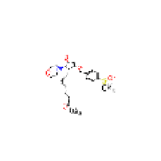 COC(=O)CCC/C=C\C[C@H]1[C@@H](OCc2ccc([S+](C)[O-])cc2)CC(=O)[C@@H]1N1CCOCC1